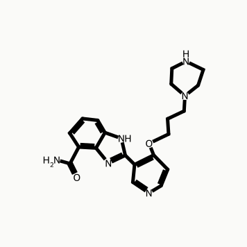 NC(=O)c1cccc2[nH]c(-c3cnccc3OCCCN3CCNCC3)nc12